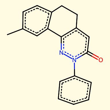 Cc1ccc2c(c1)-c1nn(-c3ccccc3)c(=O)cc1CC2